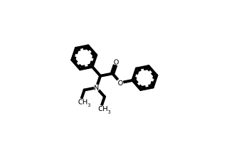 CCN(CC)C(C(=O)Oc1ccccc1)c1ccccc1